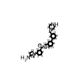 NC1=NN(c2cccc(C(=O)NCc3cccc(-c4cccc(CN5CCNCC5)c4)c3)c2)CC1